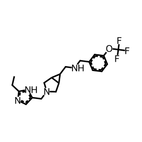 CCc1ncc(CN2CC3C(CNCc4cccc(OC(F)(F)F)c4)C3C2)[nH]1